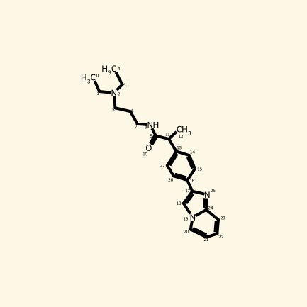 CCN(CC)CCCNC(=O)C(C)c1ccc(-c2cn3ccccc3n2)cc1